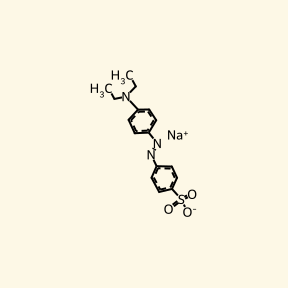 CCN(CC)c1ccc(/N=N/c2ccc(S(=O)(=O)[O-])cc2)cc1.[Na+]